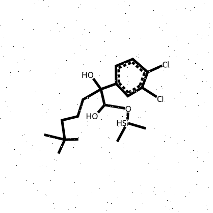 C[SiH](C)OC(O)C(O)(CCCC(C)(C)C)c1ccc(Cl)c(Cl)c1